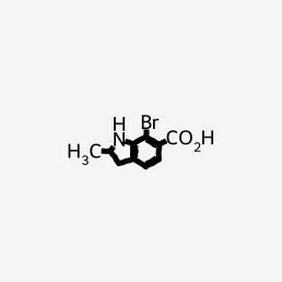 CC1Cc2ccc(C(=O)O)c(Br)c2N1